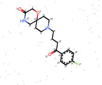 O=C1COC2(CCN(CCCC(=O)c3ccc(F)cc3)CC2)CN1